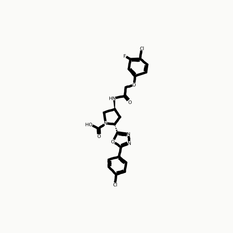 O=C(COc1ccc(Cl)c(F)c1)N[C@H]1C[C@H](c2nnc(-c3ccc(Cl)cc3)o2)N(C(=O)O)C1